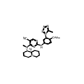 COc1ccc(Nc2ncc(C#N)c(N(C)[C@H]3CCCN4CCCC[C@H]34)n2)cc1-n1nnnc1C